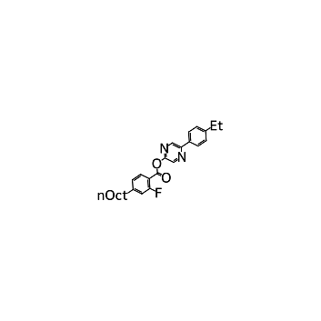 CCCCCCCCc1ccc(C(=O)Oc2cnc(-c3ccc(CC)cc3)cn2)c(F)c1